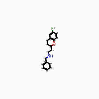 Fc1ccc2c(c1)CCC(CCNCc1ccccc1)O2